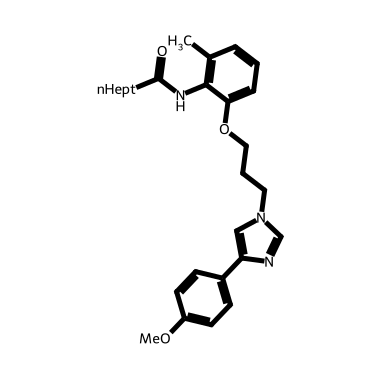 CCCCCCCC(=O)Nc1c(C)cccc1OCCCn1cnc(-c2ccc(OC)cc2)c1